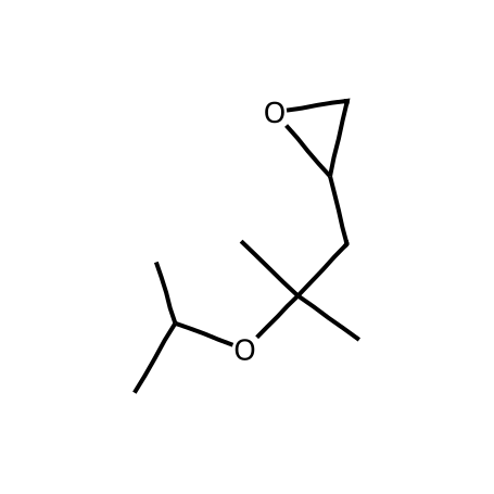 CC(C)OC(C)(C)CC1CO1